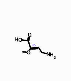 CO/C(=C\CN)C(=O)O